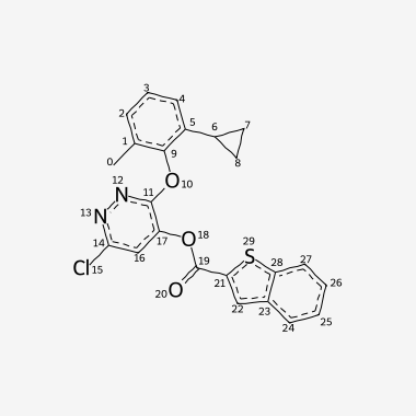 Cc1cccc(C2CC2)c1Oc1nnc(Cl)cc1OC(=O)c1cc2ccccc2s1